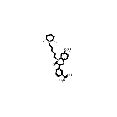 C[C@@H]1CCC[C@H](C)N1CCCCCN1C(=O)C(c2cccc(C(=N)N)c2)Sc2ccc(C(=O)O)cc21